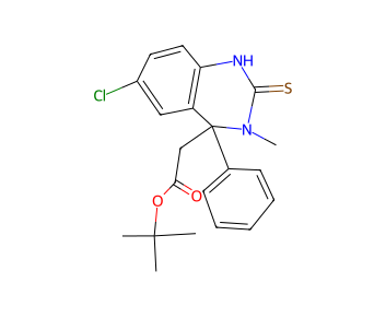 CN1C(=S)Nc2ccc(Cl)cc2C1(CC(=O)OC(C)(C)C)c1ccccc1